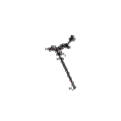 COCCOCCOCCOCCOCCOCCOCCOCCOCCOCCOCCOCCC(=O)NCCCC[C@H](N)C(=O)NCCC(=O)Nc1cc(O[C@H]2C[C@@H](O)C[C@@H](C(=O)O)O2)ccc1COC(=O)Nc1cccc(C(=O)N(C)CCON(C(=O)CCCCCCNC(=O)Nc2ccncc2)C2CCCCC2)c1